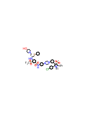 CCCc1c(S(C)(=O)=O)c(-c2cccc(N3CCN(c4ccc(NS(=O)(=O)c5ccc(N[C@H](CCN6CCC(O)CC6)CSc6ccccc6)c(S(=O)(=O)C(F)(F)F)c5)cc4)CC3)c2)c(-c2ccc(Cl)cc2)n1CC